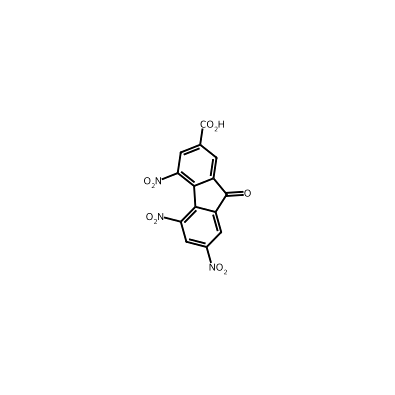 O=C(O)c1cc2c(c([N+](=O)[O-])c1)-c1c(cc([N+](=O)[O-])cc1[N+](=O)[O-])C2=O